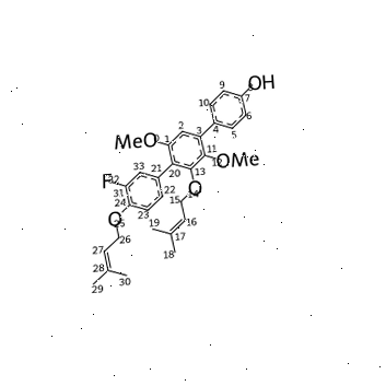 COc1cc(-c2ccc(O)cc2)c(OC)c(OCC=C(C)C)c1-c1ccc(OCC=C(C)C)c(F)c1